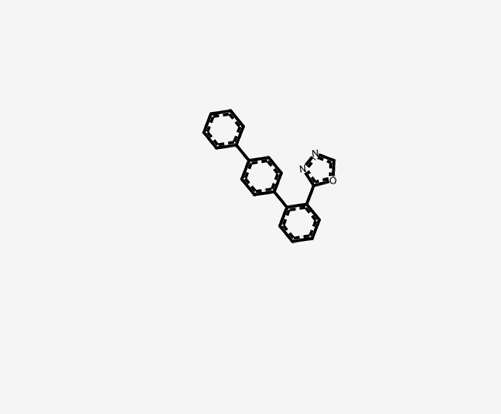 c1ccc(-c2ccc(-c3ccccc3-c3nnco3)cc2)cc1